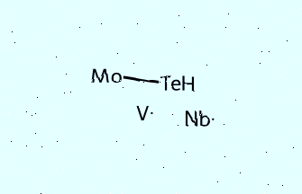 [Mo][TeH].[Nb].[V]